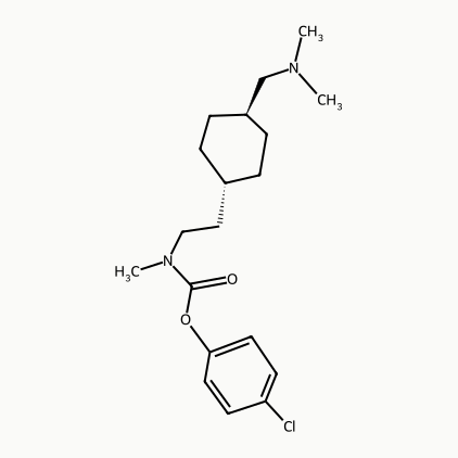 CN(C)C[C@H]1CC[C@H](CCN(C)C(=O)Oc2ccc(Cl)cc2)CC1